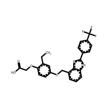 CCc1cc(SCc2cccc3nc(-c4ccc(C(F)(F)F)cc4)sc23)ccc1OCC(=O)O